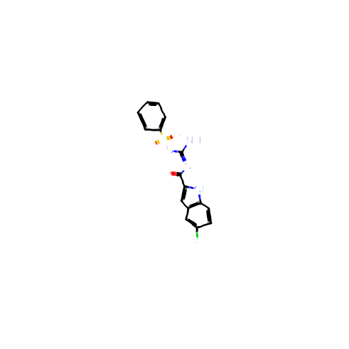 NC(=NC(=O)c1cc2cc(Cl)ccc2[nH]1)NS(=O)(=O)c1ccccc1